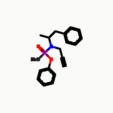 C#CCN(C(C)Cc1ccccc1)P(=O)(OC)Oc1ccccc1